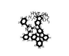 CC1(C)c2cc3c4cc5c(cc4n(-c4nc(-c6ccccc6)nc(-c6ccccc6)n4)c3cc2C(C)(C)C1(C)C)C1(c2ccccc2-c2ccccc21)c1ccccc1-5